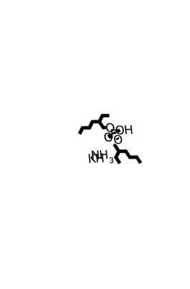 CCCCC(CC)COP(=O)(O)OCC(CC)CCCC.N.[KH]